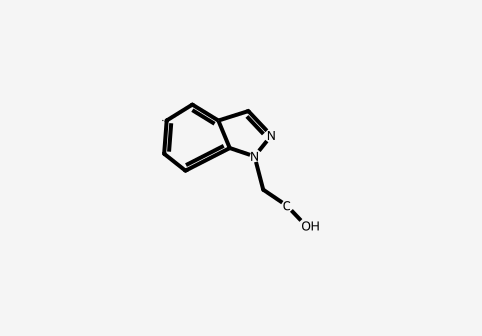 OCCn1ncc2c[c]ccc21